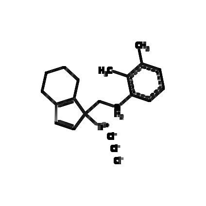 Cc1cccc([SiH2]C[C]2([Ti+3])C=CC3=C2CCCC3)c1C.[Cl-].[Cl-].[Cl-]